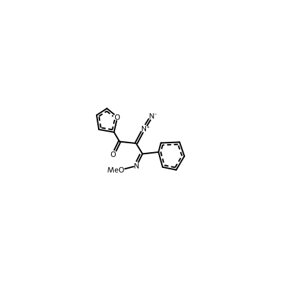 CON=C(C(=[N+]=[N-])C(=O)c1ccco1)c1ccccc1